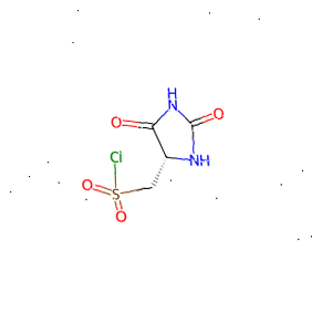 O=C1NC(=O)[C@@H](CS(=O)(=O)Cl)N1